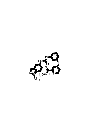 CNC(=O)c1cc(Oc2cccc(NC(=O)Nc3ccc4c(cnn4C)c3)c2)ccn1